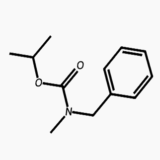 CC(C)OC(=O)N(C)Cc1ccccc1